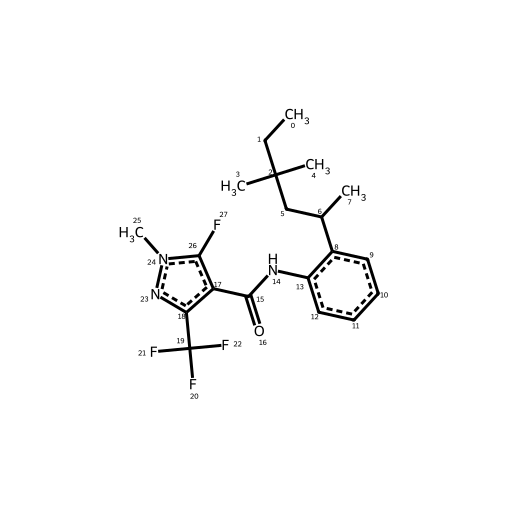 CCC(C)(C)CC(C)c1ccccc1NC(=O)c1c(C(F)(F)F)nn(C)c1F